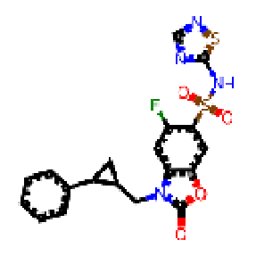 O=c1oc2cc(S(=O)(=O)Nc3ncns3)c(F)cc2n1CC1CC1c1ccccc1